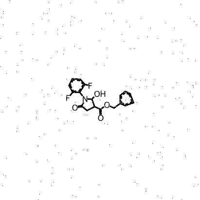 O=C(OCc1ccccc1)C1CC(=O)N(c2c(F)cccc2F)C1O